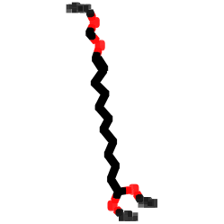 CCCCCCCCCCOCOC=CCCCCCCCCCC(OCCCC)OCCCC